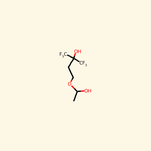 CC(O)OCCC(O)(C(F)(F)F)C(F)(F)F